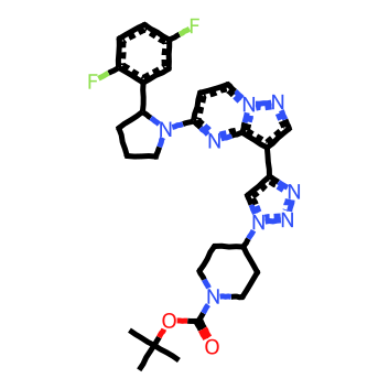 CC(C)(C)OC(=O)N1CCC(n2cc(-c3cnn4ccc(N5CCCC5c5cc(F)ccc5F)nc34)nn2)CC1